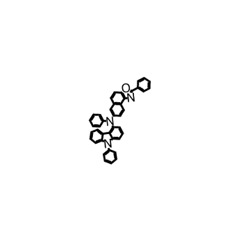 c1ccc(-c2nc3c(ccc4cc(N(c5ccccc5)c5cccc6c5c5ccccc5n6-c5ccccc5)ccc43)o2)cc1